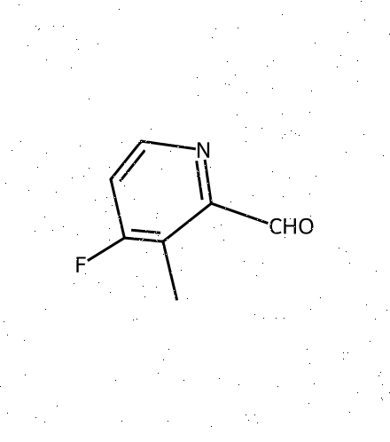 Cc1c(F)ccnc1C=O